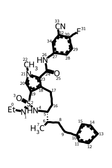 CCN=S1(=O)N[C@@H](C(C)CCc2ccccc2)CCc2c1cn(C)c2C(=O)Nc1ccc(F)c(C#N)c1